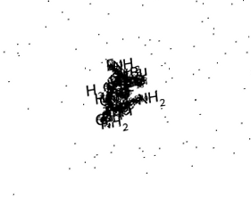 Cc1ccc(F)c(-c2cn(Cc3ccccc3)c([C@H](N(CC[C@H](N)CF)C(=O)COC(=O)N(C)CCNC(=O)[C@H](CCCNC(N)=O)NC(=O)[C@@H](NC(=O)CCCCCN)C(C)C)C(C)(C)C)n2)c1